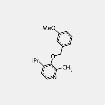 COc1cccc(COc2c(C(C)C)ccnc2C)c1